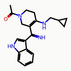 CC(=O)N1CCC(NCC2CC2)=C(C(=N)c2c[nH]c3ccccc23)C1